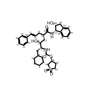 O=C(N[C@@H](CC1CCCCC1)[C@@H](O)C[C@@H](C/C=C/c1ccccc1)C(=O)N[C@H]1c2ccccc2C[C@H]1O)O[C@H]1CCS(=O)(=O)C1